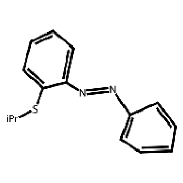 CC(C)Sc1ccccc1N=Nc1ccccc1